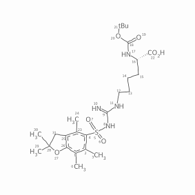 Cc1c(C)c(S(=O)(=O)NC(=N)NCCCC[C@H](NC(=O)OC(C)(C)C)C(=O)O)c(C)c2c1OC(C)(C)C2